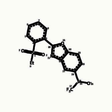 CCS(=O)(=O)c1ccccc1-c1nc2cc([S+]([O-])C(F)(F)F)ccc2o1